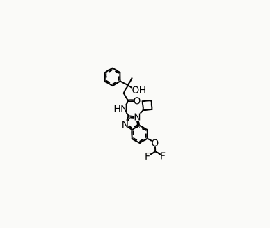 CC(O)(CC(=O)Nc1nc2ccc(OC(F)F)cc2n1C1CCC1)c1ccccc1